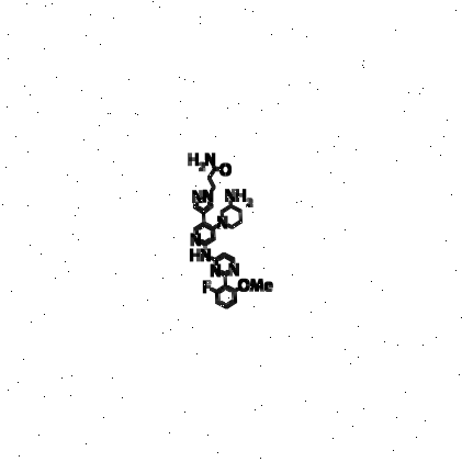 COc1cccc(F)c1-c1nccc(Nc2cc(N3CCC[C@H](N)C3)c(-c3cnn(CCC(N)=O)c3)cn2)n1